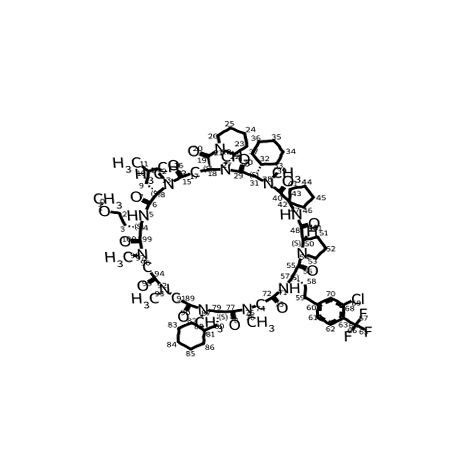 COCC[C@@H]1NC(=O)[C@H](CC(C)C)N(C)C(=O)C[C@@H](C(=O)N2CCCCC2)N(C)C(=O)[C@H](C2CCCCC2)N(C)C(=O)C2(CCCC2)NC(=O)[C@@H]2CCCN2C(=O)[C@H](CCc2ccc(C(F)(F)F)c(Cl)c2)NC(=O)CN(C)C(=O)[C@H](CC2CCCCC2)N(C)C(=O)CN(C)C(=O)CN(C)C1=O